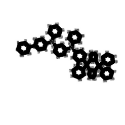 c1ccc(-c2ccc(N(c3ccccc3)c3cccc(N(c4ccccc4)c4ccc5c(c4)-c4ccccc4C54c5ccccc5C(c5ccccc5)(c5ccccc5)c5ccccc54)c3)cc2)cc1